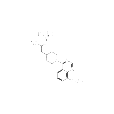 COc1cccc2c(N3CCC(CC(C#N)O[PH](=O)O)CC3)ncnc12